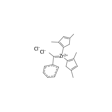 CC1=CC(C)=[C]([Zr+2]([C]2=C(C)C=C(C)C2)=[C](C)c2ccccc2)C1.[Cl-].[Cl-]